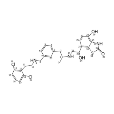 CC(Cc1cccc(CNCCc2c(Cl)cccc2Cl)c1)NCC(O)c1ccc(O)c2[nH]c(=O)sc12